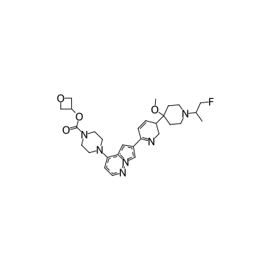 COC1(C2C=CC(c3cc4c(N5CCN(C(=O)OC6COC6)CC5)ccnn4c3)=NC2)CCN(C(C)CF)CC1